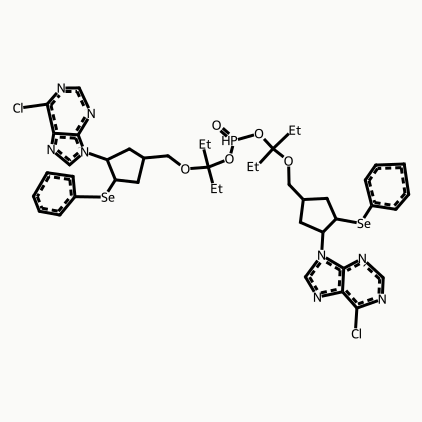 CCC(CC)(OCC1CC([Se]c2ccccc2)C(n2cnc3c(Cl)ncnc32)C1)O[PH](=O)OC(CC)(CC)OCC1CC([Se]c2ccccc2)C(n2cnc3c(Cl)ncnc32)C1